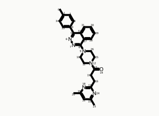 Cc1ccc(-c2nnc(N3CCN(C(=O)CCc4nc(C)cc(C)n4)CC3)c3ccccc23)cc1